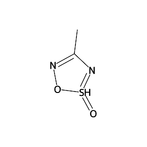 CC1=NO[SH](=O)=N1